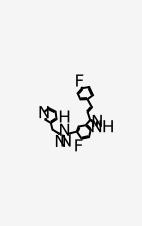 Fc1ccc(/C=C/c2n[nH]c3cc(F)c(-c4nnc(Cc5cccnc5)[nH]4)cc23)cc1